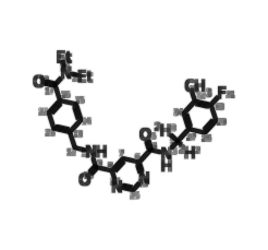 [2H]C([2H])(NC(=O)c1cc(C(=O)NCc2ccc(C(=O)N(CC)CC)cc2)ncn1)c1ccc(F)c(C)c1